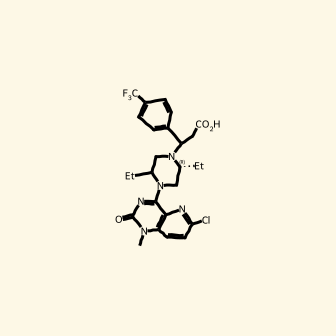 CCC1CN(C(CC(=O)O)c2ccc(C(F)(F)F)cc2)[C@H](CC)CN1c1nc(=O)n(C)c2ccc(Cl)nc12